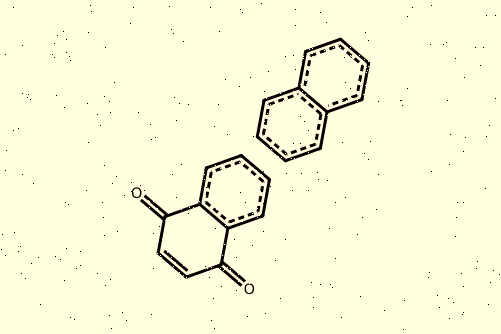 O=C1C=CC(=O)c2ccccc21.c1ccc2ccccc2c1